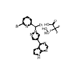 CCC(c1cccc(Br)n1)n1cc(-c2ncnc3[nH]ccc23)cn1.O=C(O)C(F)(F)F.O=NO